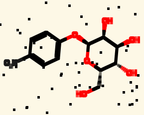 O=[N+]([O-])c1ccc(O[C@@H]2O[C@@H](CO)[C@@H](O)[C@H](O)[C@@H]2O)cc1